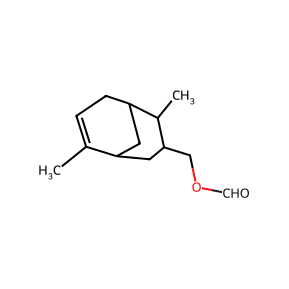 CC1=CCC2CC1CC(COC=O)C2C